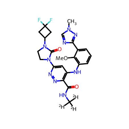 [2H]C([2H])([2H])NC(=O)c1nnc(N2CCN(C3CC(F)(F)C3)C2=O)cc1Nc1cccc(-c2ncn(C)n2)c1OC